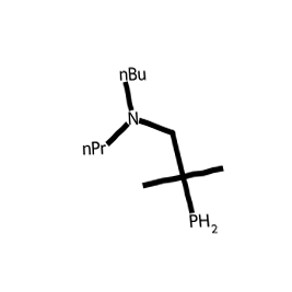 CCCCN(CCC)CC(C)(C)P